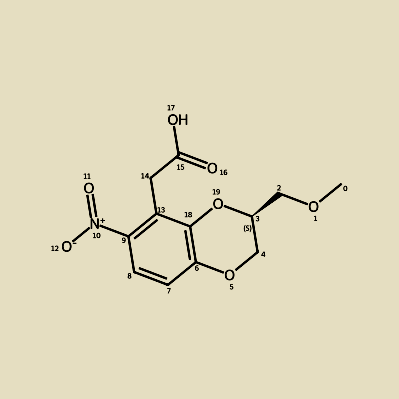 COC[C@H]1COc2ccc([N+](=O)[O-])c(CC(=O)O)c2O1